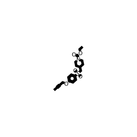 CC#CCOc1ccc(S(=O)(=O)CC2CCN(C(=O)OCC)CC2)cc1